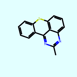 Cc1nc2c3c(cccc3n1)Sc1ccccc1-2